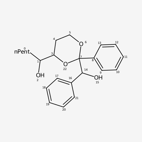 CCCCCC(O)C1CCOC(c2ccccc2)(C(O)c2ccccc2)O1